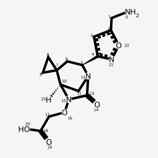 NCc1cc([C@@H]2CC3(CC3)[C@H]3CN2C(=O)N3OCC(=O)O)no1